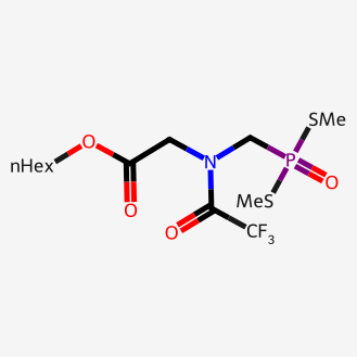 CCCCCCOC(=O)CN(CP(=O)(SC)SC)C(=O)C(F)(F)F